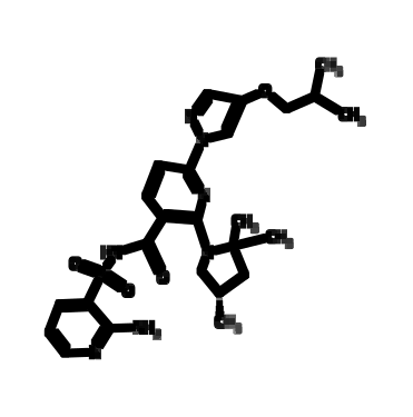 CC(C)COc1cnn(-c2ccc(C(=O)NS(=O)(=O)c3cccnc3N)c(N3C[C@@H](C)CC3(C)C)n2)c1